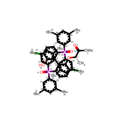 COC(=O)[C@H](C)Oc1c(Cl)ccc(P(=O)(c2cc(C(C)(C)C)cc(C(C)(C)C)c2)c2cc(C(C)(C)C)cc(C(C)(C)C)c2)c1-c1c(P(=O)(c2cc(C(C)(C)C)cc(C(C)(C)C)c2)c2cc(C(C)(C)C)cc(C(C)(C)C)c2)ccc(Cl)c1O